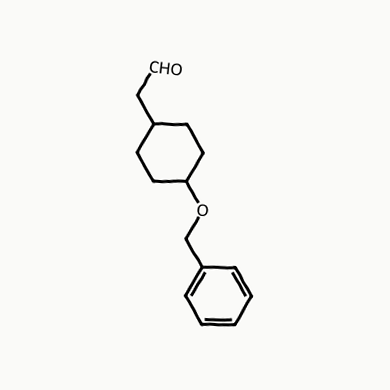 O=CCC1CCC(OCc2ccccc2)CC1